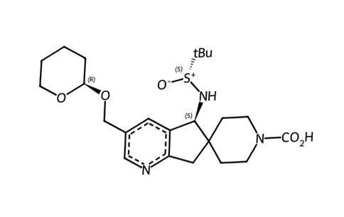 CC(C)(C)[S@@+]([O-])N[C@@H]1c2cc(CO[C@@H]3CCCCO3)cnc2CC12CCN(C(=O)O)CC2